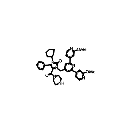 COc1cc(-c2cc(Cn3c(C(=O)N4CCNCC4)c(-c4ccccc4)n(C4CCCCC4)c3=O)cc(-c3ccnc(OC)c3)n2)ccn1